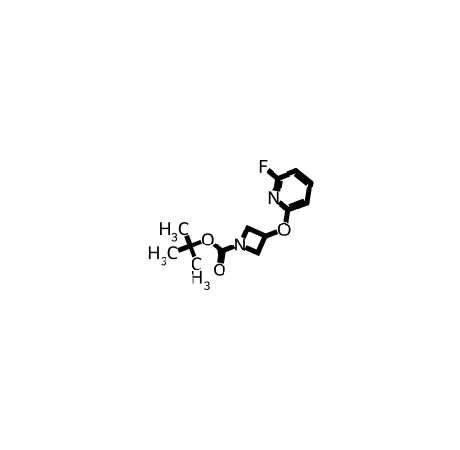 CC(C)(C)OC(=O)N1CC(Oc2cccc(F)n2)C1